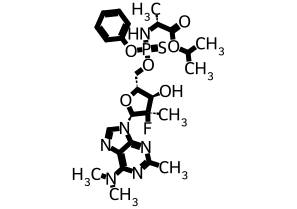 Cc1nc(N(C)C)c2ncn([C@@H]3O[C@H](COP(=S)(N[C@H](C)C(=O)OC(C)C)Oc4ccccc4)[C@@H](O)[C@@]3(C)F)c2n1